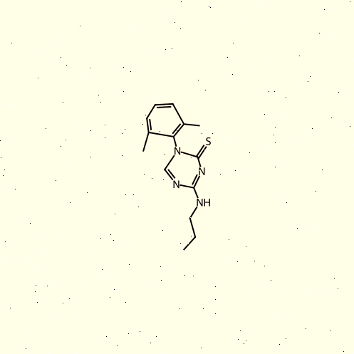 CCCNc1ncn(-c2c(C)cccc2C)c(=S)n1